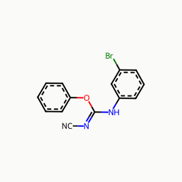 N#CN=C(Nc1cccc(Br)c1)Oc1ccccc1